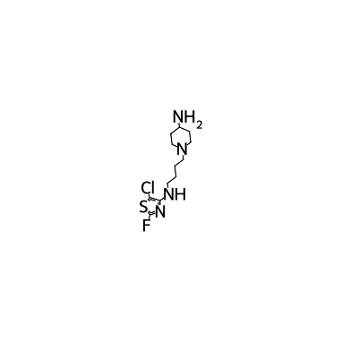 NC1CCN(CCCCNc2nc(F)sc2Cl)CC1